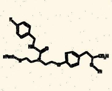 CCCCCSCCN(CCOc1ccc(CC(OCC)C(=O)O)cc1)C(=O)NCc1ccc(F)cc1